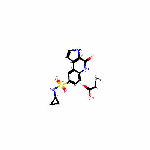 CCC(=O)O.O=c1[nH]c2ccc(S(=O)(=O)NC3CC3)cc2c2cc[nH]c12